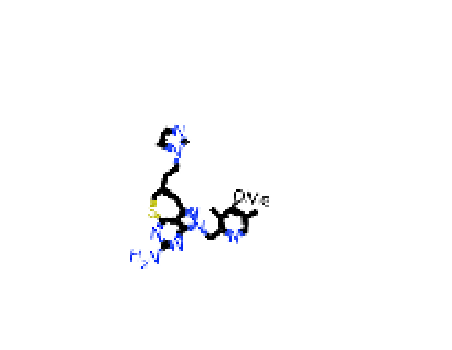 COc1c(C)cnc(Cn2nc3c4c(nc(N)nc42)SCC(CCn2ccnc2)=C3)c1C